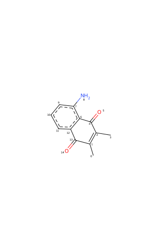 CC1=C(C)C(=O)c2c(N)cccc2C1=O